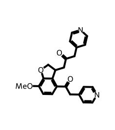 COc1ccc(C(=O)Cc2ccncc2)c2c1OCC2CC(=O)Cc1ccncc1